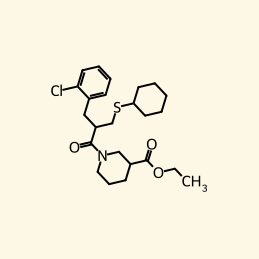 CCOC(=O)C1CCCN(C(=O)C(CSC2CCCCC2)Cc2ccccc2Cl)C1